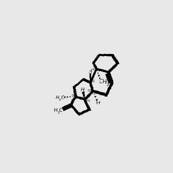 C=C1CC[C@H]2[C@@H]3CC=C4CCCC[C@]4(C)[C@H]3CC[C@]12C